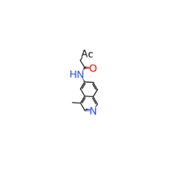 CC(=O)CC(=O)Nc1ccc2cncc(C)c2c1